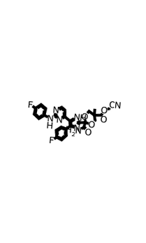 CC1(C(=O)OCC#N)COC(C(N)=O)(c2nc(-c3ccc(F)cc3)c(-c3ccnc(Nc4ccc(F)cc4)n3)[nH]2)OC1